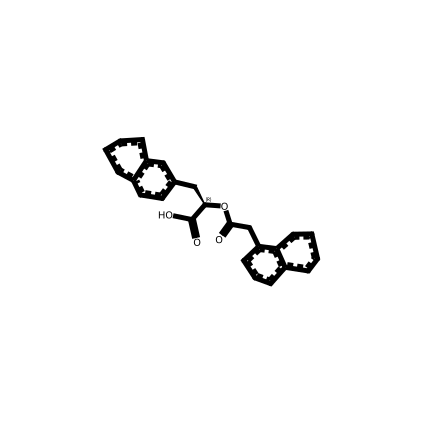 O=C(Cc1cccc2ccccc12)O[C@H](Cc1ccc2ccccc2c1)C(=O)O